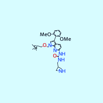 COc1cccc(OC)c1-c1cn(COCC[Si](C)(C)C)c2nc(NC(=O)NCC3CNC3)ccc12